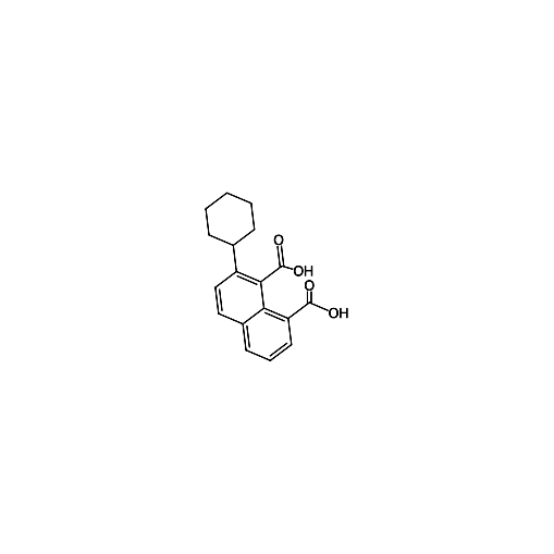 O=C(O)c1cccc2ccc(C3CCCCC3)c(C(=O)O)c12